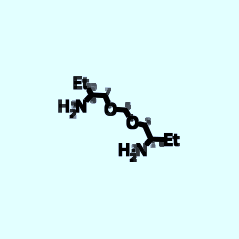 CCC(N)COCOCC(N)CC